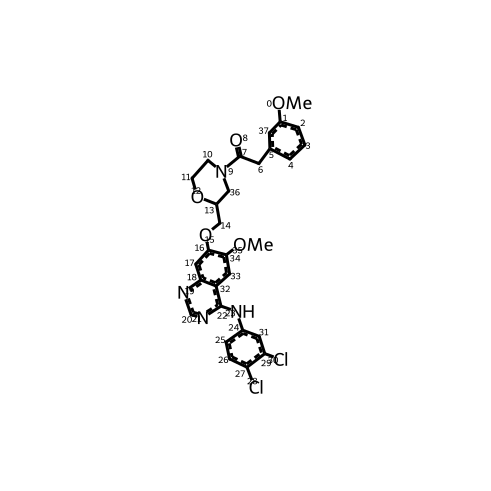 COc1cccc(CC(=O)N2CCOC(COc3cc4ncnc(Nc5ccc(Cl)c(Cl)c5)c4cc3OC)C2)c1